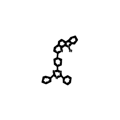 CCn1c2ccccc2c2ccc3ccc(-c4ccc(-c5nc(-c6ccccc6)nc(-c6ccccc6)n5)cc4)nc3c21